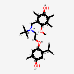 COc1c(C)c(C)c(O)c(C)c1CN(CCOc1cc(C)c(O)cc1C(C)C)C(C)(C)C